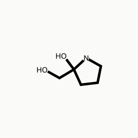 OCC1(O)CCC[N]1